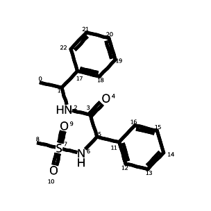 CC(NC(=O)C(NS(C)(=O)=O)c1ccccc1)c1ccccc1